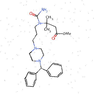 COC(=O)CC(C)(C)N(CCCN1CCN(C(c2ccccc2)c2ccccc2)CC1)C(N)=O